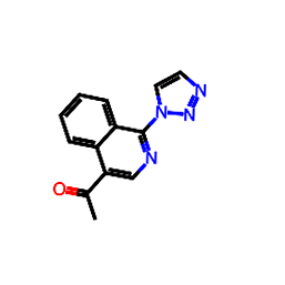 CC(=O)c1cnc(-n2ccnn2)c2ccccc12